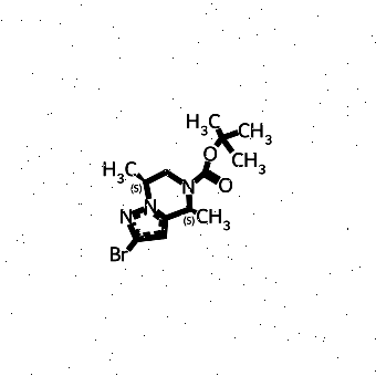 C[C@H]1c2cc(Br)nn2[C@@H](C)CN1C(=O)OC(C)(C)C